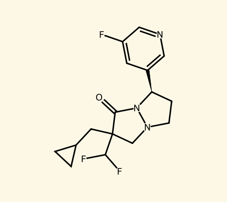 O=C1N2[C@@H](c3cncc(F)c3)CCN2CC1(CC1CC1)C(F)F